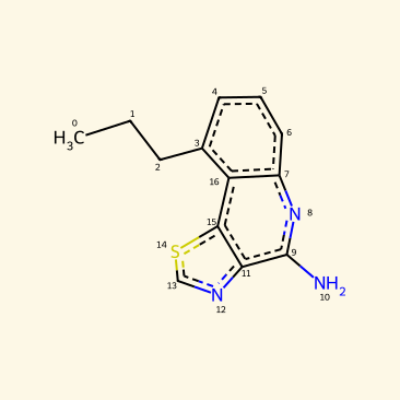 CCCc1cccc2nc(N)c3ncsc3c12